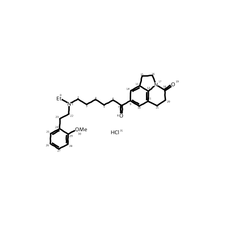 CCN(CCCCCC(=O)c1cc2c3c(c1)CCN3C(=O)CC2)CCc1ccccc1OC.Cl